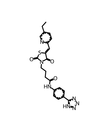 CCc1ccc(/C=C2\SC(=O)N(CCCC(=O)Nc3ccc(-c4nnn[nH]4)cc3)C2=O)nc1